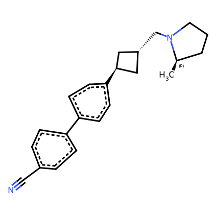 C[C@@H]1CCCN1C[C@H]1C[C@H](c2ccc(-c3ccc(C#N)cc3)cc2)C1